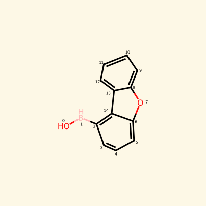 OBc1cccc2oc3ccccc3c12